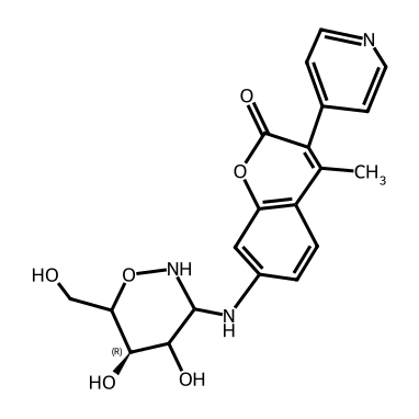 Cc1c(-c2ccncc2)c(=O)oc2cc(NC3NOC(CO)[C@H](O)C3O)ccc12